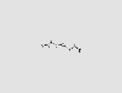 [CH2]CCCCOCCF